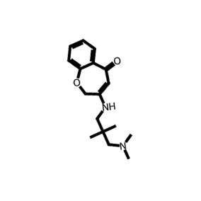 CN(C)CC(C)(C)CNC1=CC(=O)c2ccccc2OC1